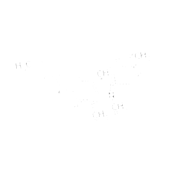 CCCCCc1cc(C)c(N(C)c2ccc(C)cc2)c(C)c1